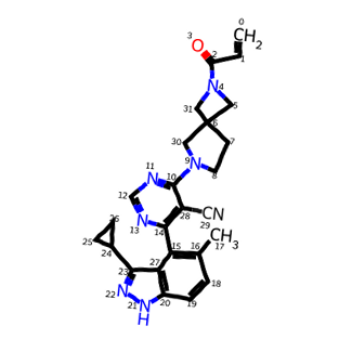 C=CC(=O)N1CC2(CCN(c3ncnc(-c4c(C)ccc5[nH]nc(C6CC6)c45)c3C#N)C2)C1